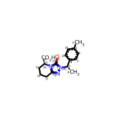 Cc1ccc([C@@H](C)n2nc3n(c2=O)[C@H](C(=O)O)CCC3)cc1